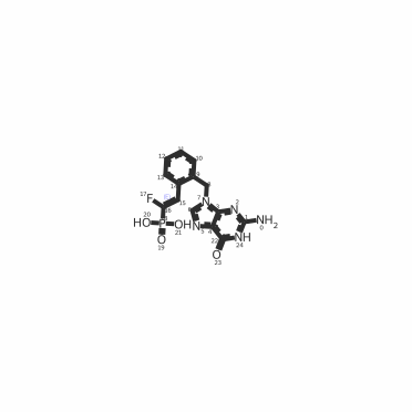 Nc1nc2c(ncn2Cc2ccccc2/C=C(\F)P(=O)(O)O)c(=O)[nH]1